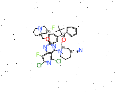 CC(C)(C)[Si](OC[C@@H]1C[C@H](C#N)CCCN1c1nc(OC[C@@]23CCCN2C[C@H](F)C3)nc2c(F)c(Cl)nc(Cl)c12)(c1ccccc1)c1ccccc1